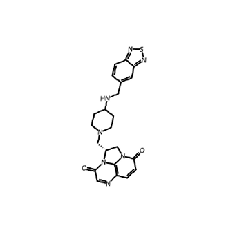 O=c1ccc2ncc(=O)n3c2n1C[C@H]3CN1CCC(NCc2ccc3nsnc3c2)CC1